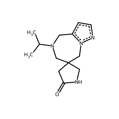 CC(C)N1Cc2ccnn2CC2(CNC(=O)C2)C1